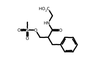 CS(=O)(=O)OCC(Cc1ccccc1)C(=O)NCC(=O)O